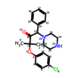 CC(C)(Oc1ccc(Cl)cc1)C(=O)C(c1ccccc1)N1CCNCC1